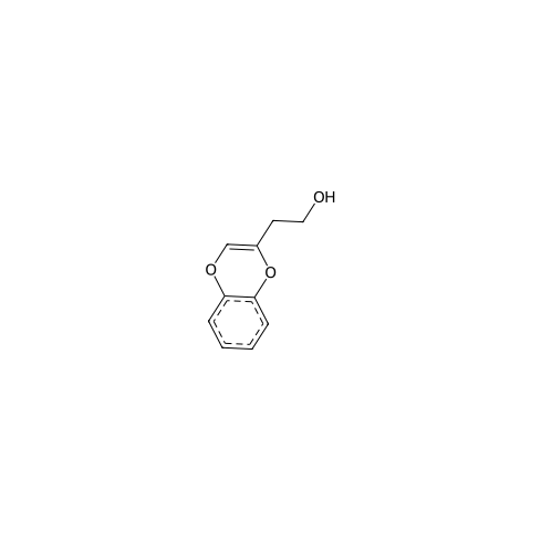 OCCC1=COc2ccccc2O1